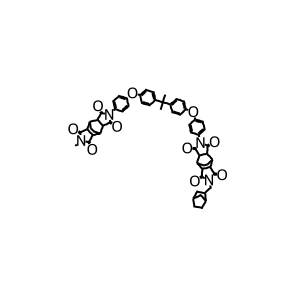 CN1C(=O)C2C3CCC(C2C1=O)C1C(=O)N(c2ccc(Oc4ccc(C(C)(C)c5ccc(Oc6ccc(N7C(=O)C8C9CCC(C%10C(=O)N(CC%11CC%12CCC%11C%12)C(=O)C9%10)C8C7=O)cc6)cc5)cc4)cc2)C(=O)C31